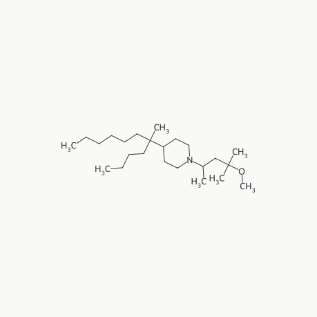 CCCCCCC(C)(CCCC)C1CCN(C(C)CC(C)(C)OC)CC1